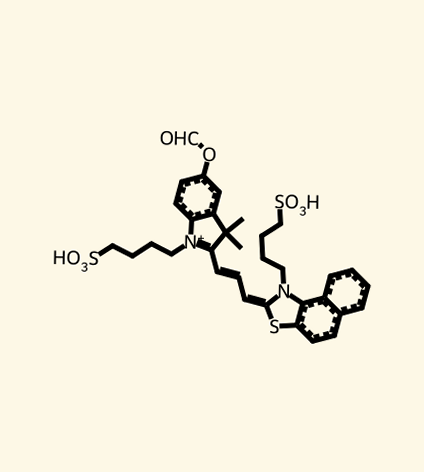 CC1(C)C(C=CC=C2Sc3ccc4ccccc4c3N2CCCCS(=O)(=O)O)=[N+](CCCCS(=O)(=O)O)c2ccc(OC=O)cc21